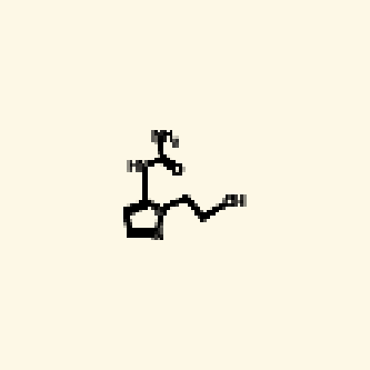 NC(=O)Nc1ccnn1CCO